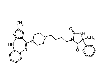 Cc1cc2c(s1)Nc1ccccc1N=C2N1CCN(CCCCN2C(=O)NC(C)(c3ccccc3)C2=O)CC1